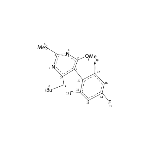 CCC(C)Cc1nc(SC)nc(OC)c1-c1c(F)cc(F)cc1F